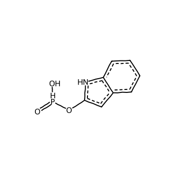 O=[PH](O)Oc1cc2ccccc2[nH]1